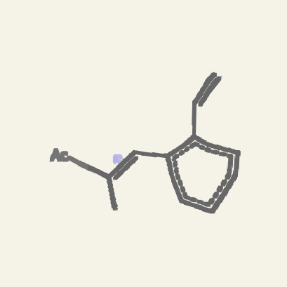 C=Cc1ccccc1/C=C(\C)C(C)=O